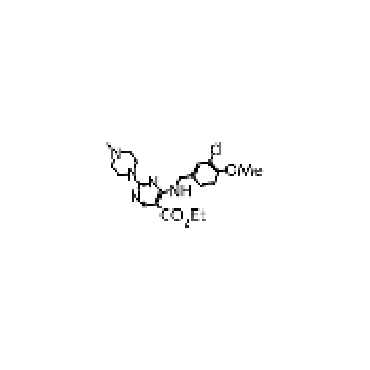 CCOC(=O)c1cnc(N2CCN(C)CC2)nc1NCc1ccc(OC)c(Cl)c1